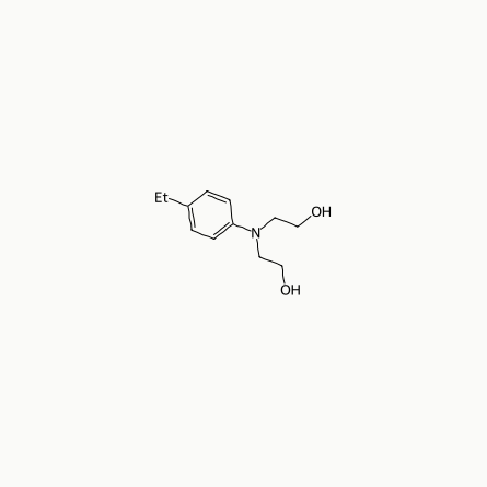 CCc1ccc(N(CCO)CCO)cc1